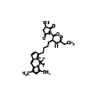 CCC(=O)NC(CCCCC1=[N+]2C(=Cc3c(C)cc(C)n3[B-]2(F)F)C=C1)C(=O)N1C(=O)CC(O)C1=O